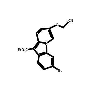 CCOC(=O)c1c2ccc(CC)cc2n2cc(OCC#N)ccc12